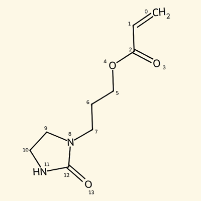 C=CC(=O)OCCCN1CCNC1=O